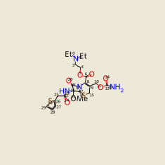 CCN(CC)CCOC(=O)C1=C(COC(N)=O)CSC2N1C(=O)C2(NC(=O)Cc1cccs1)OC